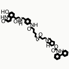 CN(CCCCC(=O)Nc1ccc(CNC[C@H](O)c2ccc(O)c3[nH]c(=O)ccc23)cc1)C(=O)CCN1CC2CC(OC(=O)Nc3ccccc3-c3ccccc3)C[C@H]2C1